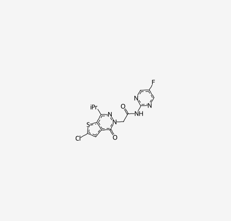 CC(C)c1nn(CC(=O)Nc2ncc(F)cn2)c(=O)c2cc(Cl)sc12